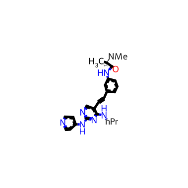 CCCNc1nc(Nc2ccncc2)ncc1C#Cc1cccc(NC(=O)[C@H](C)NC)c1